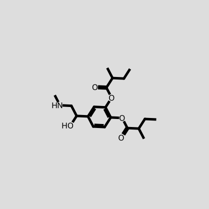 CCC(C)C(=O)Oc1ccc(C(O)CNC)cc1OC(=O)C(C)CC